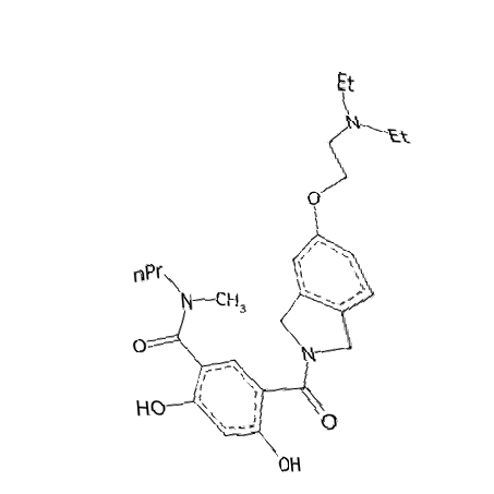 CCCN(C)C(=O)c1cc(C(=O)N2Cc3ccc(OCCN(CC)CC)cc3C2)c(O)cc1O